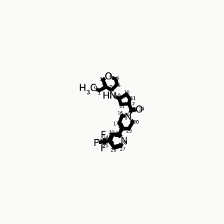 CCC1COCCC1NC1CCC(C(=O)N2CC=C(c3cc(C(F)(F)F)ccn3)CC2)C1